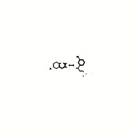 CN(C)CCC(NC(=O)c1nc2cc3c(nc2s1)CC[C@H](C(C)(C)C)C3)c1cccc(C(=O)O)c1